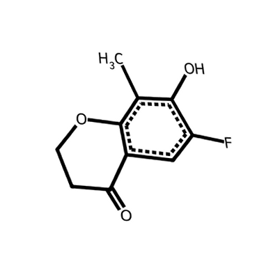 Cc1c(O)c(F)cc2c1OCCC2=O